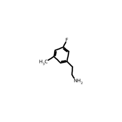 Cc1cc(F)cc(CCN)c1